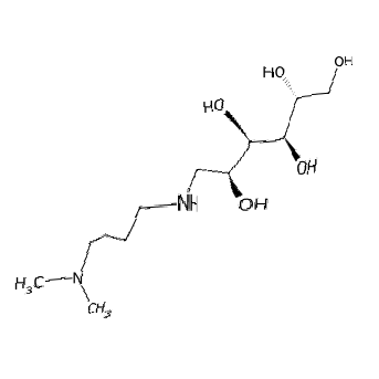 CN(C)CCCNC[C@H](O)[C@@H](O)[C@H](O)[C@H](O)CO